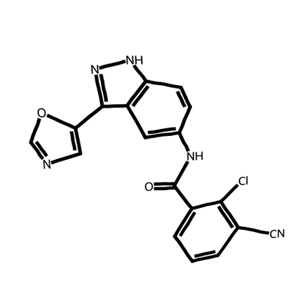 N#Cc1cccc(C(=O)Nc2ccc3[nH]nc(-c4cnco4)c3c2)c1Cl